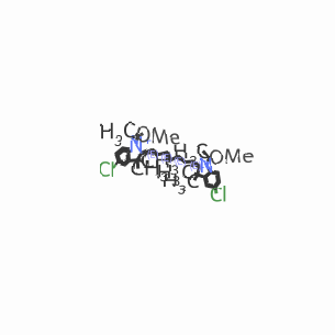 COC(C)N1/C(=C/C=C/C=C/C=C/C2=[N+](C(C)OC)c3ccc(Cl)cc3C2(C)C)C(C)(C)c2cc(Cl)ccc21